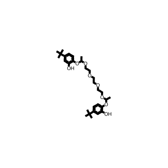 CC(OCCOCCOCCOC(C)Oc1ccc(C(C)(C)C)cc1O)Oc1ccc(C(C)(C)C)cc1O